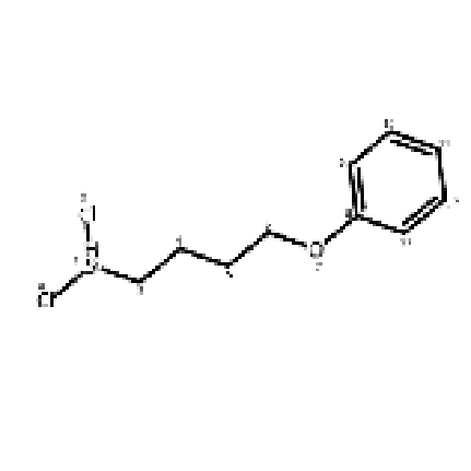 Cl[SiH](Cl)CCCCOc1ccccc1